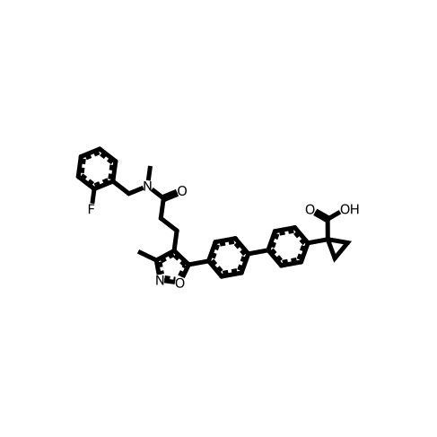 Cc1noc(-c2ccc(-c3ccc(C4(C(=O)O)CC4)cc3)cc2)c1CCC(=O)N(C)Cc1ccccc1F